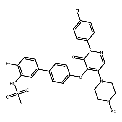 CC(=O)N1CCN(c2cnn(-c3ccc(Cl)cc3)c(=O)c2Oc2ccc(-c3ccc(F)c(NS(C)(=O)=O)c3)cc2)CC1